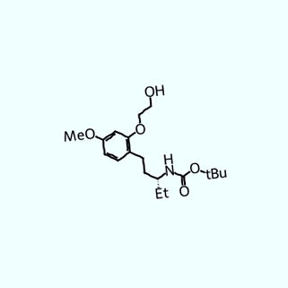 CC[C@H](CCc1ccc(OC)cc1OCCO)NC(=O)OC(C)(C)C